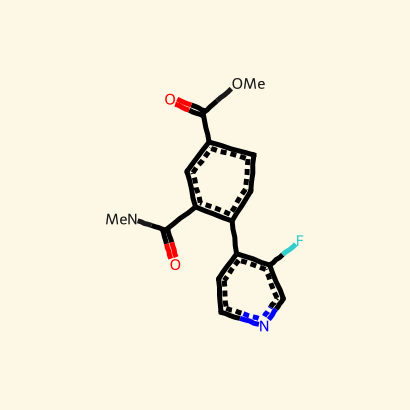 CNC(=O)c1cc(C(=O)OC)ccc1-c1ccncc1F